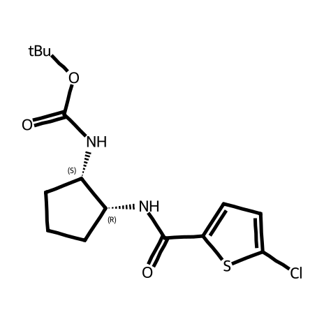 CC(C)(C)OC(=O)N[C@H]1CCC[C@H]1NC(=O)c1ccc(Cl)s1